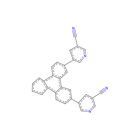 N#Cc1cncc(-c2ccc3c4ccccc4c4ccc(-c5cncc(C#N)c5)cc4c3c2)c1